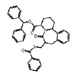 O=C(SCC1Cc2ccccc2C2CCCC(C(=O)OC(c3ccccc3)c3ccccc3)N2C1=O)c1ccccc1